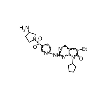 CCc1cc2cnc(Nc3ccc(S(=O)(=O)N4CCC(N)C4)cn3)nc2n(C2CCCC2)c1=O